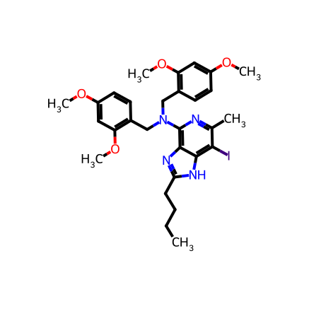 CCCCc1nc2c(N(Cc3ccc(OC)cc3OC)Cc3ccc(OC)cc3OC)nc(C)c(I)c2[nH]1